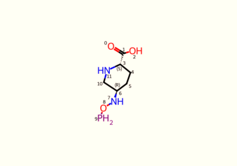 O=C(O)[C@@H]1CC[C@@H](NOP)CN1